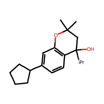 CC(C)C1(O)CC(C)(C)Oc2cc(C3CCCC3)ccc21